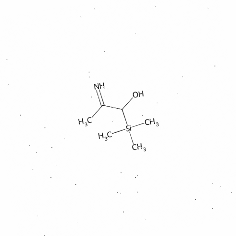 CC(=N)C(O)[Si](C)(C)C